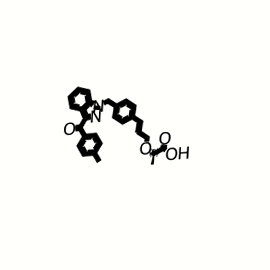 Cc1ccc(C(=O)c2nn(Cc3ccc(C=CCO[C@H](C)C(=O)O)cc3)c3ccccc23)cc1